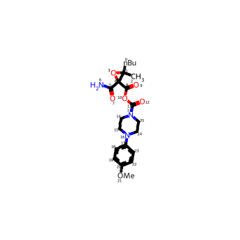 CCCCC1(C)OC1(C(N)=O)C(=O)OC(=O)N1CCN(c2ccc(OC)cc2)CC1